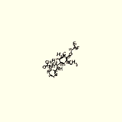 CC(=O)Nc1nccnc1NC(C)c1cc(C)c(OCC(F)F)c(C)c1